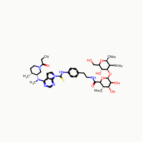 CO[C@@H]1OC(CO)[C@@H](O)[C@H](O[C@@H]2OC(C(=O)NCCc3ccc(NC(=S)n4ccc5c(N(C)[C@H]6CN(C(=O)CC#N)CC[C@H]6C)ncnc54)cc3)[C@@H](OC)[C@H](O)C2O)C1NC(C)=O